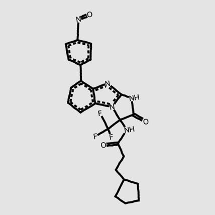 O=Nc1ccc(-c2cccc3c2nc2n3C(NC(=O)CCC3CCCC3)(C(F)(F)F)C(=O)N2)cc1